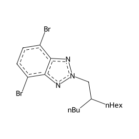 CCCCCCC(CCCC)Cn1nc2c(Br)ccc(Br)c2n1